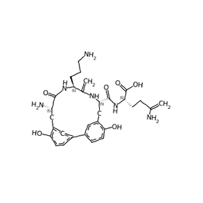 C=C(N)CC[C@H](NC(=O)[C@@H]1Cc2cc(ccc2O)-c2ccc(O)c(c2)C[C@H](N)C(=O)N[C@@H](CCCN)C(=C)N1)C(=O)O